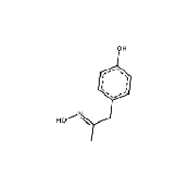 CC(Cc1ccc(O)cc1)=NO